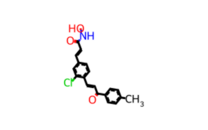 Cc1ccc(C(=O)C=Cc2ccc(C=CC(=O)NO)cc2Cl)cc1